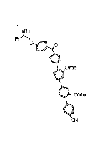 CCCCC(CC)COc1ccc(C(=O)c2ccc(-c3ccc(-c4ccc(-c5ccc(C#N)cc5)c(OC)c4)cc3OC)cc2)cc1